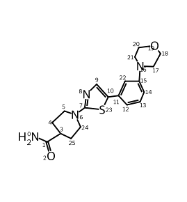 NC(=O)C1CCN(c2ncc(-c3cccc(N4CCOCC4)c3)s2)CC1